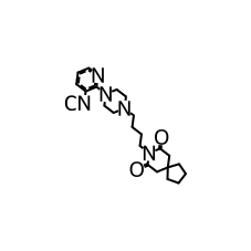 N#Cc1cccnc1N1CCN(CCCCN2C(=O)CC3(CCCC3)CC2=O)CC1